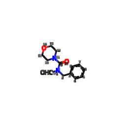 O=CN(Cc1ccccc1)C(=O)N1CCOCC1